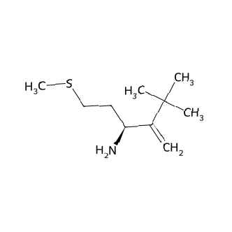 C=C([C@@H](N)CCSC)C(C)(C)C